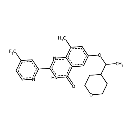 Cc1cc(OC(C)C2CCOCC2)cc2c(=O)[nH]c(-c3cc(C(F)(F)F)ccn3)nc12